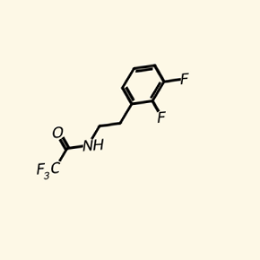 O=C(NCCc1cccc(F)c1F)C(F)(F)F